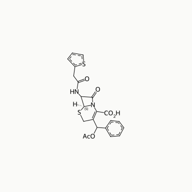 CC(=O)OC(C1=C(C(=O)O)N2C(=O)C(NC(=O)Cc3cccs3)[C@@H]2SC1)c1ccccc1